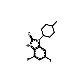 CC1CCC(n2c(=O)[nH]c3c(F)cc(F)cc32)CC1